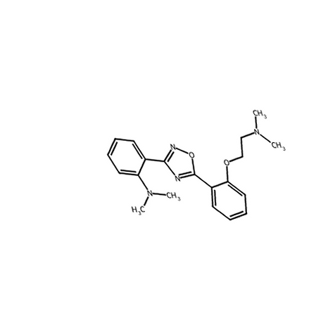 CN(C)CCOc1ccccc1-c1nc(-c2ccccc2N(C)C)no1